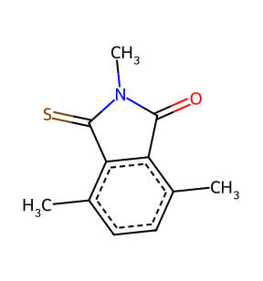 Cc1ccc(C)c2c1C(=O)N(C)C2=S